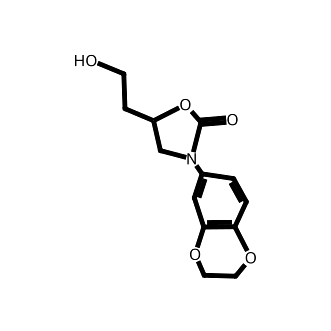 O=C1OC(CCO)CN1c1ccc2c(c1)OCCO2